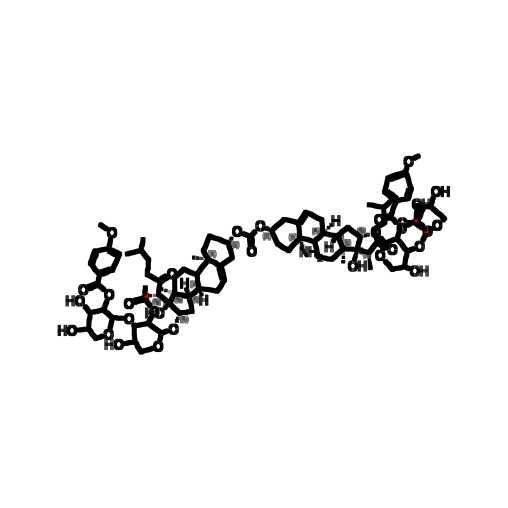 COc1ccc(C(=O)OC2C(OC3C(O)COC(O[C@H]4C[C@H]5[C@@H]6CC=C7C[C@@H](OC(=O)O[C@@H]8CC[C@@]9(N)C(=CC[C@@H]%10C9CC[C@@]9(C)[C@H]%10C[C@H](OC%10OCC(O)C(OC%11OCC(O)C(O)C%11OC(=O)c%11ccc(OC)cc%11)C%10OC(C)=O)[C@]9(O)[C@H](C)C(=O)CCC(C)C)C8)CC[C@]7(C)C6CC[C@]5(C)[C@@]4(O)[C@H](C)C(=O)CCC(C)C)C3OC(C)=O)OCC(O)C2O)cc1